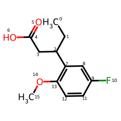 CCC(CC(=O)O)c1cc(F)ccc1OC